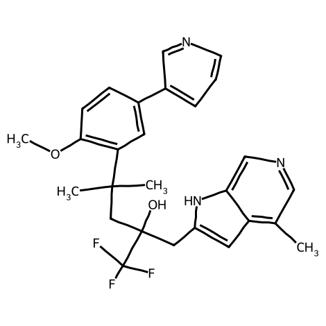 COc1ccc(-c2cccnc2)cc1C(C)(C)CC(O)(Cc1cc2c(C)cncc2[nH]1)C(F)(F)F